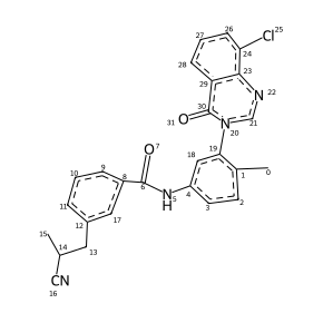 Cc1ccc(NC(=O)c2cccc(CC(C)C#N)c2)cc1-n1cnc2c(Cl)cccc2c1=O